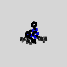 CC(Nc1nc(C(=O)O)nc2nc(C3=CCCCC3)n(Cc3ccc(C(F)(F)F)cc3)c12)C1CCC1